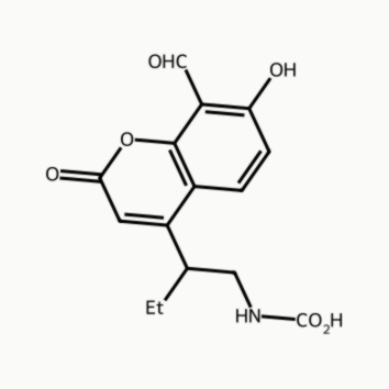 CCC(CNC(=O)O)c1cc(=O)oc2c(C=O)c(O)ccc12